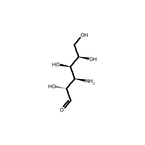 N[C@H]([C@@H](O)[C@H](O)CO)[C@@H](O)C=O